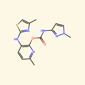 Cc1csc(Nc2ccc(C)nc2OC(=O)Nc2ccn(C)n2)n1